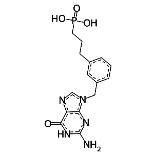 Nc1nc2c(ncn2Cc2cccc(CCCP(=O)(O)O)c2)c(=O)[nH]1